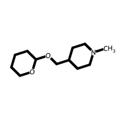 CN1CCC(COC2CCCCO2)CC1